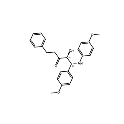 COc1ccc(N[C@H](c2ccc(OC)cc2)[C@H](O)C(=O)CCc2ccccc2)cc1